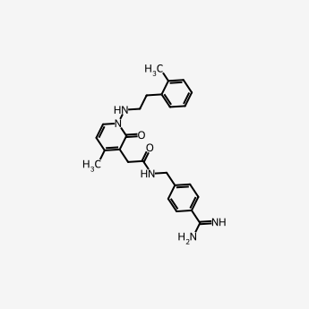 Cc1ccccc1CCNn1ccc(C)c(CC(=O)NCc2ccc(C(=N)N)cc2)c1=O